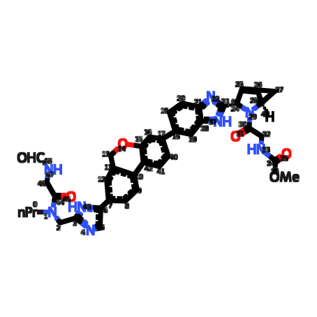 CCCN(Cc1ncc(-c2ccc3c(c2)COc2cc(-c4ccc5nc([C@@H]6C=C7C[C@H]7N6C(=O)CNC(=O)OC)[nH]c5c4)ccc2-3)[nH]1)C(=O)CNC=O